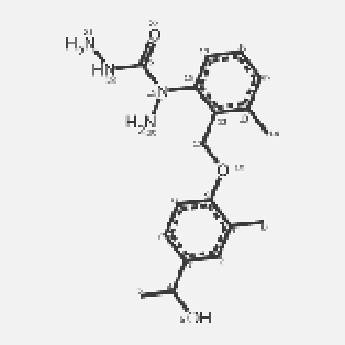 Cc1cc(C(C)O)ccc1OCc1c(C)cccc1N(N)C(=O)NN